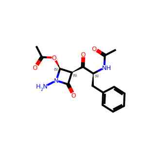 CC(=O)N[C@@H](Cc1ccccc1)C(=O)[C@H]1C(=O)N(N)[C@H]1OC(C)=O